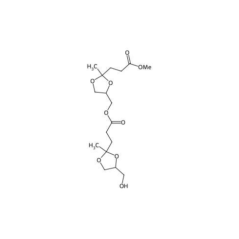 COC(=O)CCC1(C)OCC(COC(=O)CCC2(C)OCC(CO)O2)O1